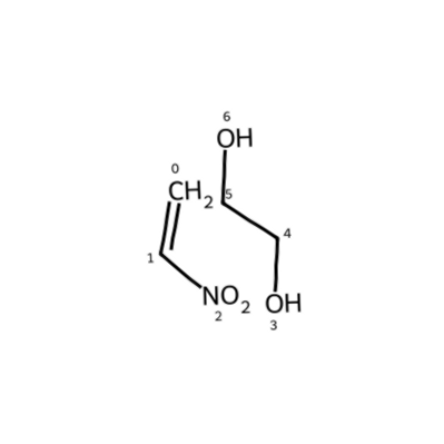 C=C[N+](=O)[O-].OCCO